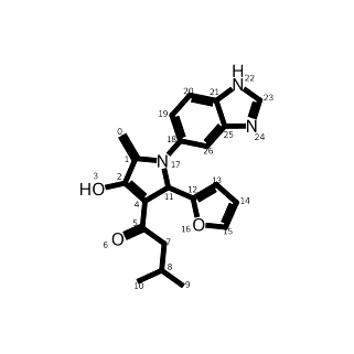 C=C1C(O)=C(C(=O)CC(C)C)C(c2ccco2)N1c1ccc2[nH]cnc2c1